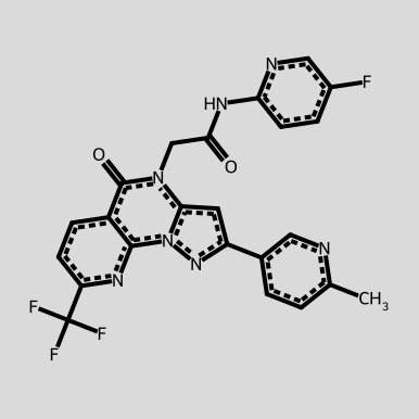 Cc1ccc(-c2cc3n(CC(=O)Nc4ccc(F)cn4)c(=O)c4ccc(C(F)(F)F)nc4n3n2)cn1